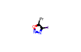 CC(C)c1onnc1I